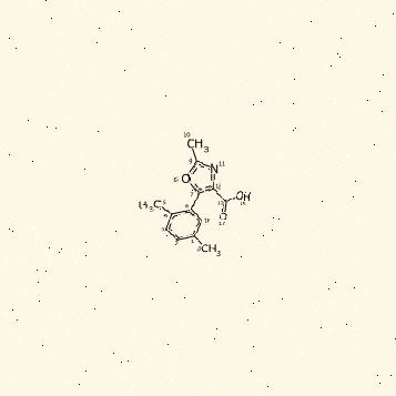 Cc1ccc(C)c(-c2oc(C)nc2C(=O)O)c1